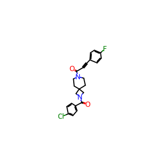 O=C(C#Cc1ccc(F)cc1)N1CCC2(CC1)CN(C(=O)c1ccc(Cl)cc1)C2